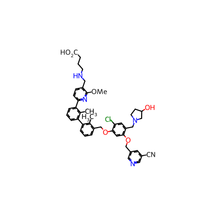 COc1nc(-c2cccc(-c3cccc(COc4cc(OCc5cncc(C#N)c5)c(CN5CCC(O)C5)cc4Cl)c3C)c2C)ccc1CNCCCC(=O)O